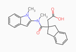 CN(C(=O)C1(CC(=O)O)Cc2ccccc2C1)c1cc2ccccc2n1C